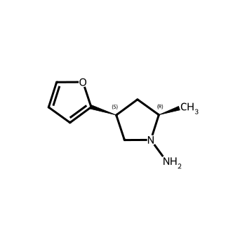 C[C@@H]1C[C@H](c2ccco2)CN1N